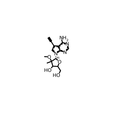 C#Cc1cn([C@@H]2OC(CO)C(O)C2(C)OC)c2ncnc(N)c12